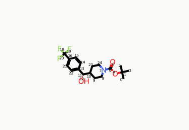 CC(C)(C)OC(=O)N1CCC([C@H](O)c2ccc(C(F)(F)F)cc2)CC1